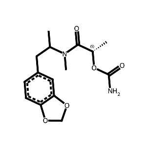 CC(Cc1ccc2c(c1)OCO2)N(C)C(=O)[C@H](C)OC(N)=O